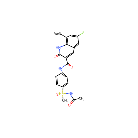 CNc1cc(F)cc2cc(C(=O)Nc3ccc([SH](C)(=O)NC(=O)C(F)(F)F)cc3)c(=O)[nH]c12